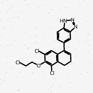 ClCCOc1c(Cl)cc2c(c1Cl)CCC=C2c1ccc2[nH]nnc2c1